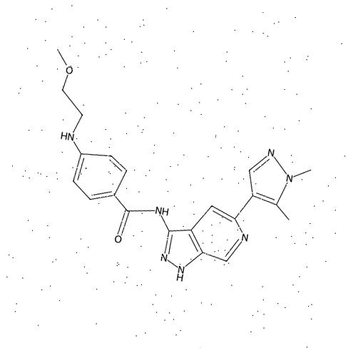 COCCNc1ccc(C(=O)Nc2n[nH]c3cnc(-c4cnn(C)c4C)cc23)cc1